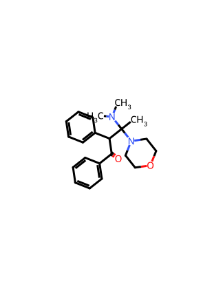 CN(C)C(C)(C(C(=O)c1ccccc1)c1ccccc1)N1CCOCC1